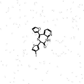 O=C1Nc2ncccc2C(c2ccco2)=NC1c1cc(I)cs1